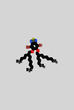 CCCCCCC(CCCC)COC1=C(Br)c2nsnc2C(Br)C1OCC(CCCC)CCCCCC